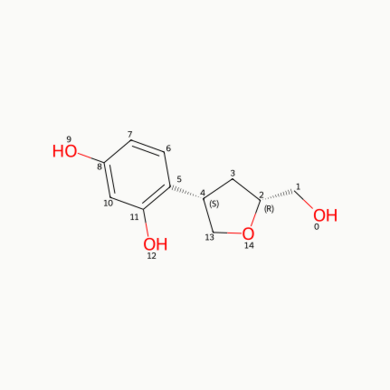 OC[C@H]1C[C@@H](c2ccc(O)cc2O)CO1